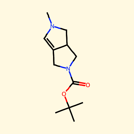 CN1C=C2CN(C(=O)OC(C)(C)C)CC2C1